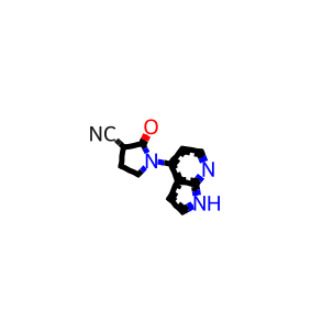 N#CC1CCN(c2ccnc3[nH]ccc23)C1=O